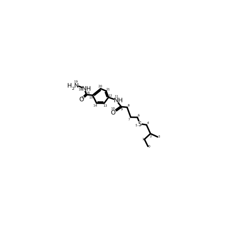 CCC(C)CSCCCC(=O)Nc1ccc(C(=O)NN)cc1